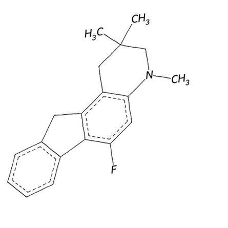 CN1CC(C)(C)Cc2c1cc(F)c1c2Cc2ccccc2-1